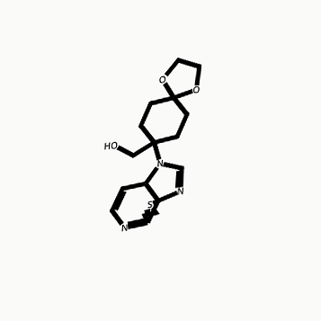 OCC1(N2C=NC34SC=CC3=NC=CC24)CCC2(CC1)OCCO2